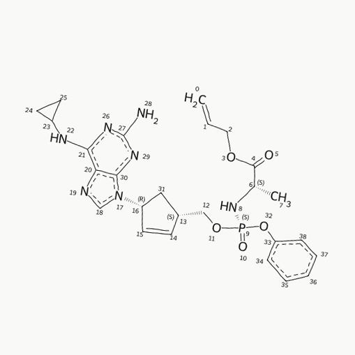 C=CCOC(=O)[C@H](C)N[P@](=O)(OC[C@@H]1C=C[C@H](n2cnc3c(NC4CC4)nc(N)nc32)C1)Oc1ccccc1